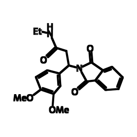 CCNC(=O)CC(c1ccc(OC)c(OC)c1)N1C(=O)c2ccccc2C1=O